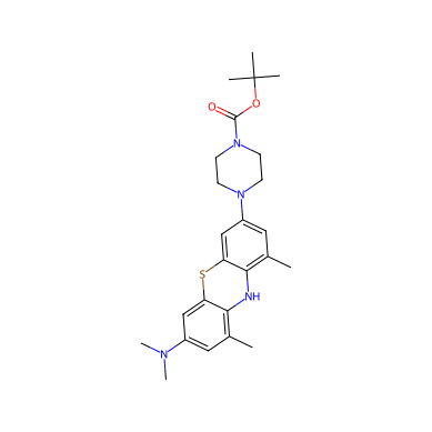 Cc1cc(N(C)C)cc2c1Nc1c(C)cc(N3CCN(C(=O)OC(C)(C)C)CC3)cc1S2